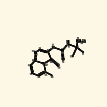 CCOC(=O)C(C)(C)NC(=O)Oc1cnc2cccc(C)n2c1=O